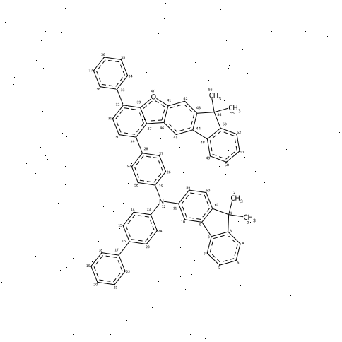 CC1(C)c2ccccc2-c2cc(N(c3ccc(-c4ccccc4)cc3)c3ccc(-c4ccc(-c5ccccc5)c5oc6cc7c(cc6c45)-c4ccccc4C7(C)C)cc3)ccc21